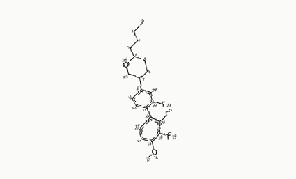 CCCCC1CCC(c2ccc(-c3ccc(OC)c(F)c3F)c(F)c2)CO1